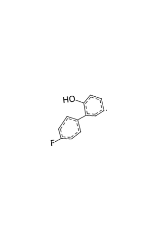 Oc1cc[c]cc1-c1ccc(F)cc1